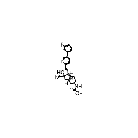 N#C[C@]1(O)C[C@@H]2CC(NC(=O)O)CC[C@H]2[C@@H]1C=Cc1ccc(-c2cccc(F)c2)cn1